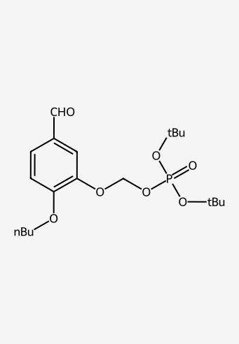 CCCCOc1ccc(C=O)cc1OCOP(=O)(OC(C)(C)C)OC(C)(C)C